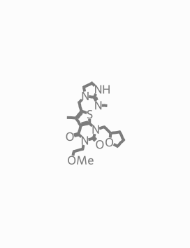 C/N=C1\NCCN1Cc1sc2c(c1C)c(=O)n(CCOC)c(=O)n2CC1CCCO1